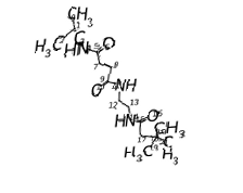 CC(C)CNC(=O)CCC(=O)NCCNC(=O)CC(C)(C)C